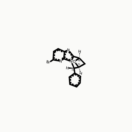 Brc1ccc2nc3n(c2n1)[C@@H](c1ccccc1)[C@@H]1C[C@H]3O1